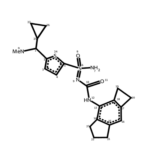 CNC(c1ccc(S(N)(=O)=NC(=O)Nc2c3c(cc4c2CC4)CCC3)s1)C1CC1